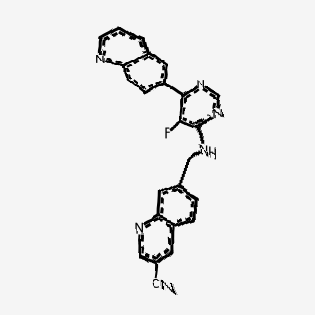 N#Cc1cnc2cc(CNc3ncnc(-c4ccc5ncccc5c4)c3F)ccc2c1